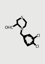 O=CC1CSCCN1Cc1ccc(Cl)c(Cl)c1